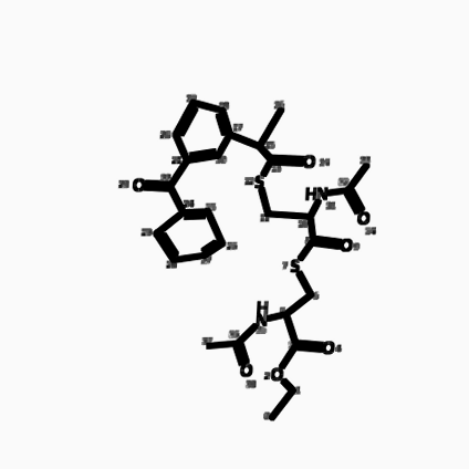 CCOC(=O)C(CSC(=O)C(CSC(=O)C(C)c1cccc(C(=O)c2ccccc2)c1)NC(C)=O)NC(C)=O